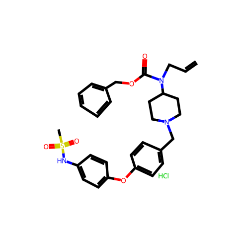 C=CCN(C(=O)OCc1ccccc1)C1CCN(Cc2ccc(Oc3ccc(NS(C)(=O)=O)cc3)cc2)CC1.Cl